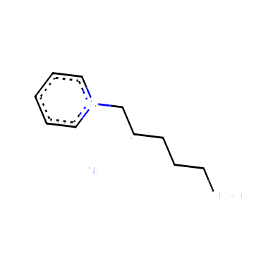 CCCCCCCCCCCC[n+]1ccccc1.N